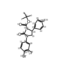 CC(C)(C)OC(=O)N1C(=O)N(c2ccc(Br)c(F)c2)CC1c1ccc(F)cc1